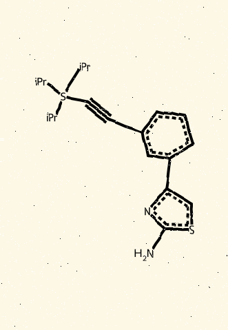 CC(C)S(C#Cc1cccc(-c2csc(N)n2)c1)(C(C)C)C(C)C